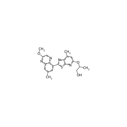 COc1cnc2c(-c3nc4c(C)cc(OC(C)CO)nc4s3)cc(C)cc2n1